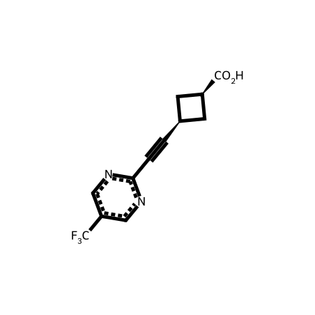 O=C(O)[C@H]1C[C@@H](C#Cc2ncc(C(F)(F)F)cn2)C1